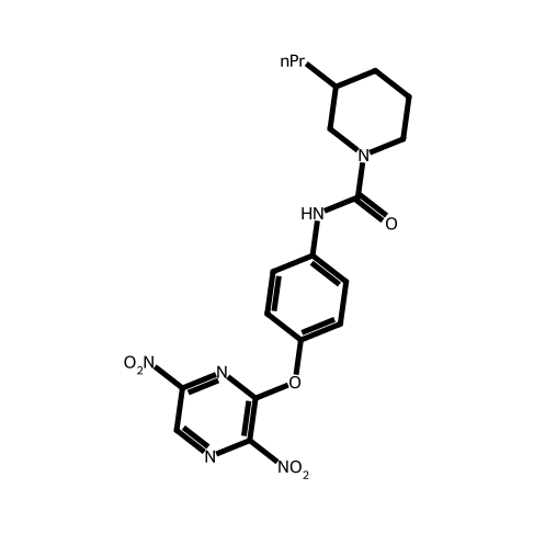 CCCC1CCCN(C(=O)Nc2ccc(Oc3nc([N+](=O)[O-])cnc3[N+](=O)[O-])cc2)C1